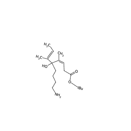 CC=C(C)C(O)(CCCCN)C(C)=CCC(=O)OC(C)(C)C